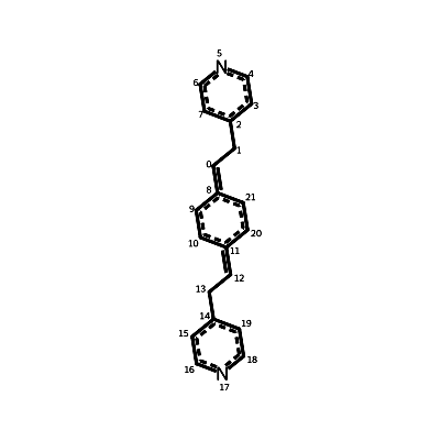 C(Cc1ccncc1)=c1ccc(=CCc2ccncc2)cc1